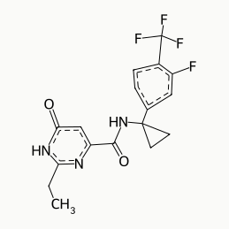 CCc1nc(C(=O)NC2(c3ccc(C(F)(F)F)c(F)c3)CC2)cc(=O)[nH]1